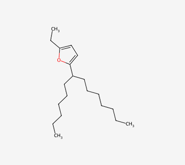 CCCCCCCC(CCCCCC)c1ccc(CC)o1